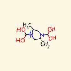 C[C@@H]1CN(C(O)O)[C@@H](C)CN1C(O)O